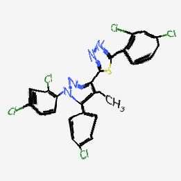 Cc1c(-c2nnc(-c3ccc(Cl)cc3Cl)s2)nn(-c2ccc(Cl)cc2Cl)c1-c1ccc(Cl)cc1